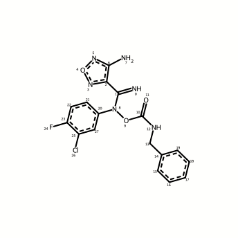 N=C(c1nonc1N)N(OC(=O)NCc1ccccc1)c1ccc(F)c(Cl)c1